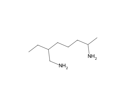 CCC(CN)CCCC(C)N